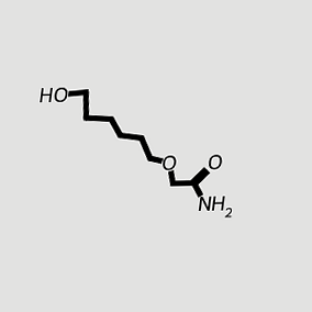 NC(=O)COCCCCCCO